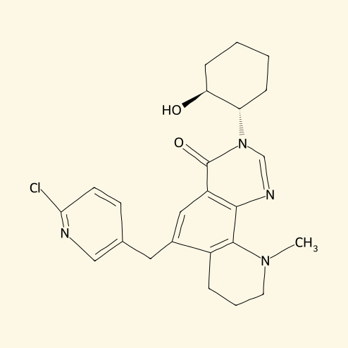 CN1CCCc2c(Cc3ccc(Cl)nc3)cc3c(=O)n([C@H]4CCCC[C@@H]4O)cnc3c21